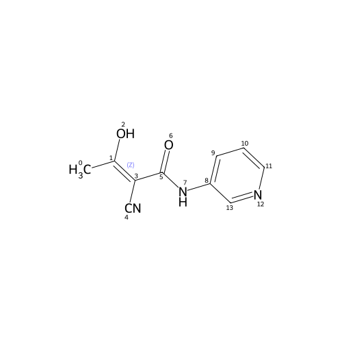 C/C(O)=C(\C#N)C(=O)Nc1cccnc1